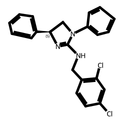 Clc1ccc(CNC2=N[C@@H](c3ccccc3)CN2c2ccccc2)c(Cl)c1